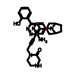 Nc1nnc(-c2ccccc2O)cc1N1CC2CCC(C1)N2c1ccnc(C#CCN2CCNCC2=O)c1